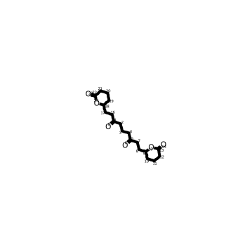 O=C(CCCC(=O)CCC1CCCC(=O)O1)CCC1CCCC(=O)O1